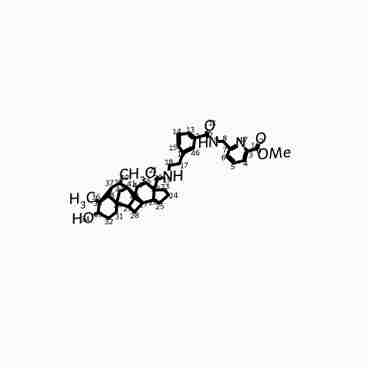 COC(=O)c1cccc(CNC(=O)c2cccc(CCNC(=O)C34CCCC3C35CC6C78CCC(O)C9(C)C(C79)[C@@H](C)C3(C8)C65CC4)c2)n1